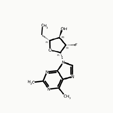 CC[C@H]1O[C@@H](n2cnc3c(C)nc(C)nc32)[C@@H](F)[C@@H]1O